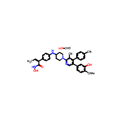 CC=C(C(=O)NO)c1ccc(NC2CCN(c3ncc(-c4ccc(OC)c(O)c4)c(-c4ccc(C#N)cc4)c3C#N)CC2)cc1.O=CO